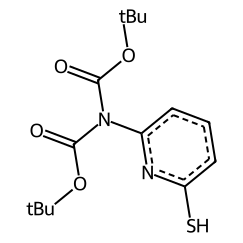 CC(C)(C)OC(=O)N(C(=O)OC(C)(C)C)c1cccc(S)n1